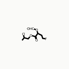 CC(Cl)COC(=O)C(CCF)O[C]=O